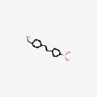 NCc1ccc(/C=C/c2ccc(B(O)O)cc2)cc1